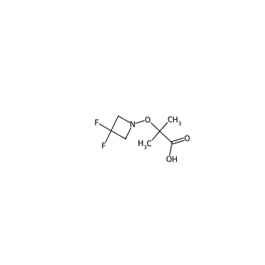 CC(C)(ON1CC(F)(F)C1)C(=O)O